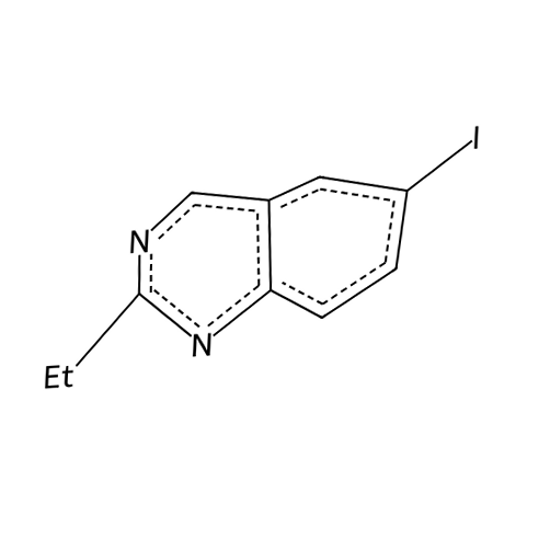 CCc1ncc2cc(I)ccc2n1